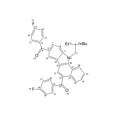 CCCCC(CC)Cn1c2ccc(C(=O)c3ccc(F)cc3)cc2c2cc(C(=O)c3ccc(F)cc3)c3ccccc3c21